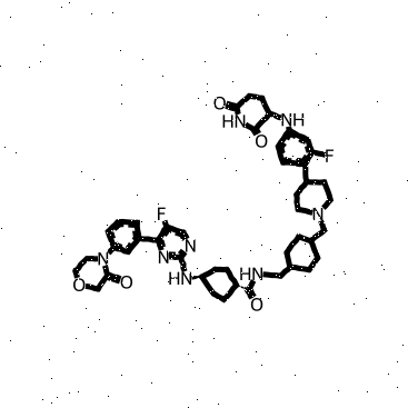 O=C1CCC(Nc2ccc(C3CCN(CC4CCC(CNC(=O)[C@H]5CC[C@H](Nc6ncc(F)c(-c7cccc(N8CCOCC8=O)c7)n6)CC5)CC4)CC3)c(F)c2)C(=O)N1